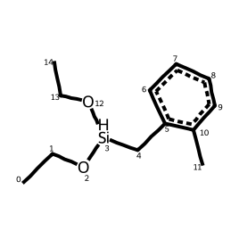 CCO[SiH](Cc1ccccc1C)OCC